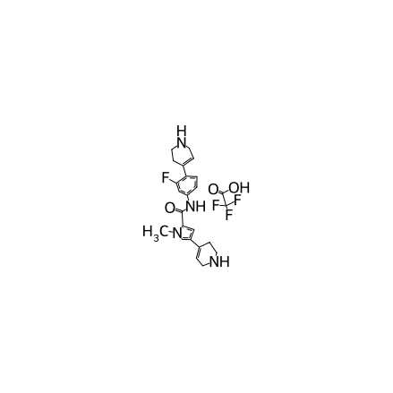 Cn1cc(C2=CCNCC2)cc1C(=O)Nc1ccc(C2=CCNCC2)c(F)c1.O=C(O)C(F)(F)F